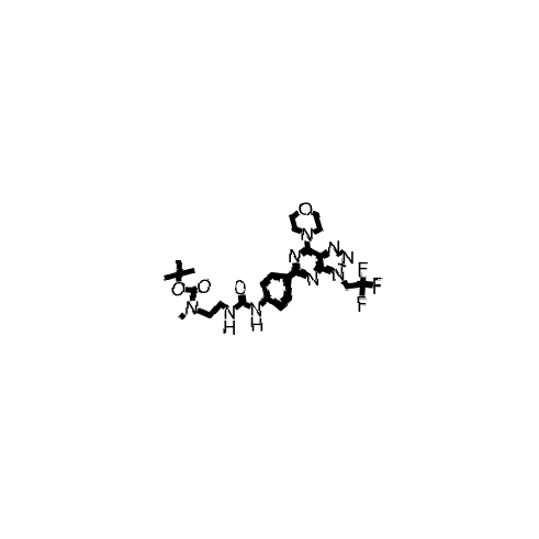 CN(CCNC(=O)Nc1ccc(-c2nc(N3CCOCC3)c3nnn(CC(F)(F)F)c3n2)cc1)C(=O)OC(C)(C)C